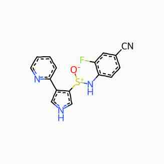 N#Cc1ccc(N[S+]([O-])c2c[nH]cc2-c2ccccn2)c(F)c1